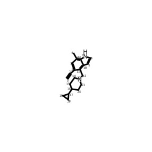 C#Cc1cc(C)c2[nH]ccc2c1CN1CCC(C2CC2)CC1